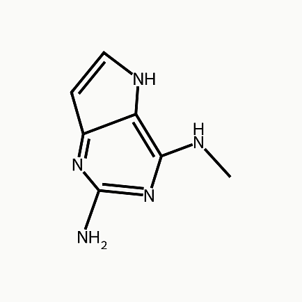 CNc1nc(N)nc2cc[nH]c12